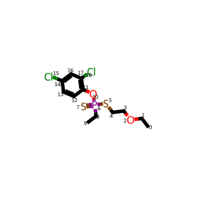 CCOCCSP(=S)(CC)Oc1ccc(Cl)cc1Cl